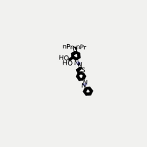 CCCN(CCC)c1ccc(/N=N/c2cc3ccc(/N=N/c4ccccc4)cc3s2)c(C(O)O)c1